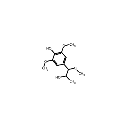 COc1cc(C(OC)C(C)O)cc(OC)c1O